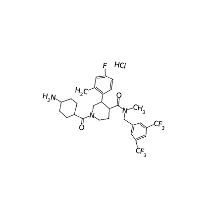 Cc1cc(F)ccc1C1CN(C(=O)C2CCC(N)CC2)CCC1C(=O)N(C)Cc1cc(C(F)(F)F)cc(C(F)(F)F)c1.Cl